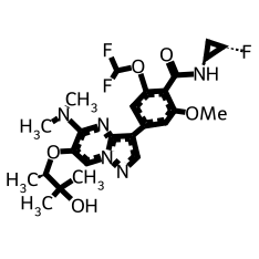 COc1cc(-c2cnn3cc(O[C@@H](C)C(C)(C)O)c(N(C)C)nc23)cc(OC(F)F)c1C(=O)N[C@@H]1C[C@@H]1F